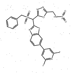 O=[SH](=O)NCc1nnc(C(c2nc3ccc(-c4cc(F)nc(F)c4)cc3s2)S(=O)(=O)Cc2ccccc2)o1